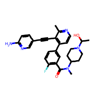 Cc1nccc(-c2ccc(F)c(C(=O)N(C)C3CCN(C(C)O)CC3)c2)c1C#Cc1ccc(N)nc1